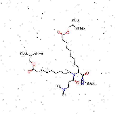 CCCCCCCCNC(=O)C(CCCCCCCCC(=O)OCC(CCCC)CCCCCC)N(CCCCCCCCC(=O)OCC(CCCC)CCCCCC)C(=O)CCN(CC)CC